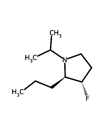 CCC[C@@H]1[C@@H](F)CCN1C(C)C